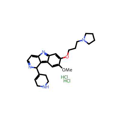 COc1cc2c(cc1OCCCN1CCCC1)=NC1=CC=NC(C3=CCNCC3)C=21.Cl.Cl